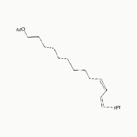 CCC/C=C\C=C/CCCCCCCCCOC(C)=O